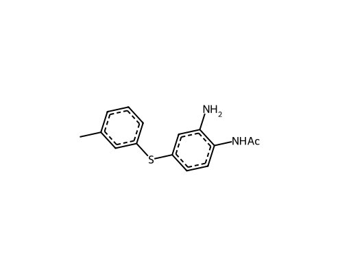 CC(=O)Nc1ccc(Sc2cccc(C)c2)cc1N